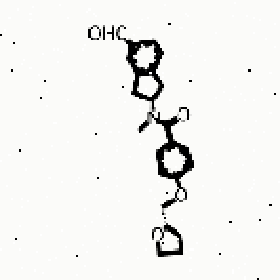 CN(C(=O)c1ccc(OC[C@@H]2CCCO2)cc1)[C@@H]1Cc2ccc(C=O)cc2C1